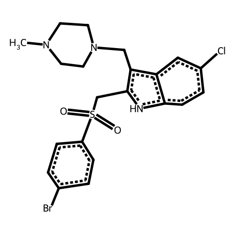 CN1CCN(Cc2c(CS(=O)(=O)c3ccc(Br)cc3)[nH]c3ccc(Cl)cc23)CC1